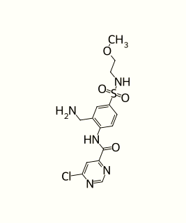 COCCNS(=O)(=O)c1ccc(NC(=O)c2cc(Cl)ncn2)c(CN)c1